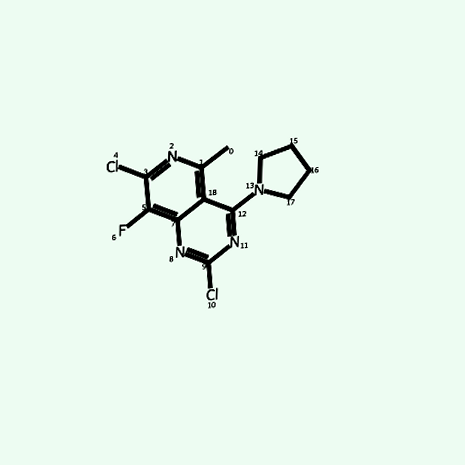 Cc1nc(Cl)c(F)c2nc(Cl)nc(N3CCCC3)c12